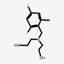 OCCN(CCO)Cc1c(I)cc(I)cc1I